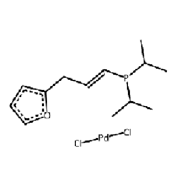 CC(C)P(C=CCc1ccco1)C(C)C.[Cl][Pd][Cl]